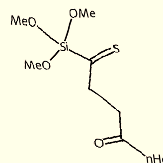 CCCCCCCC(=O)CCC(=S)[Si](OC)(OC)OC